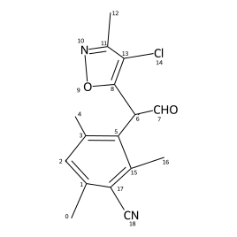 Cc1cc(C)c([C](C=O)c2onc(C)c2Cl)c(C)c1C#N